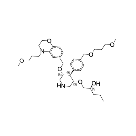 CCC[C@H](O)CO[C@@H]1CNC[C@H](OCc2ccc3c(c2)N(CCCOC)CCO3)[C@H]1c1ccc(COCCCOC)cc1